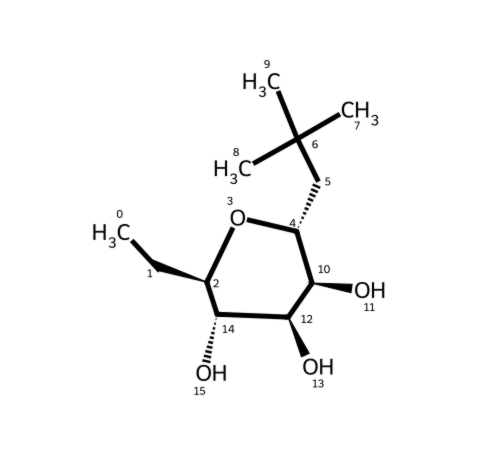 CC[C@H]1O[C@H](CC(C)(C)C)[C@@H](O)[C@@H](O)[C@@H]1O